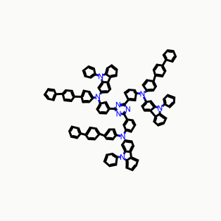 c1ccc(-c2ccc(-c3ccc(N(c4cccc(-c5nc(-c6cccc(N(c7ccc(-c8ccc(-c9ccccc9)cc8)cc7)c7ccc8c9ccccc9n(-c9ccccc9)c8c7)c6)nc(-c6cccc(N(c7ccc(-c8ccc(-c9ccccc9)cc8)cc7)c7ccc8c9ccccc9n(-c9ccccc9)c8c7)c6)n5)c4)c4ccc5c6ccccc6n(-c6ccccc6)c5c4)cc3)cc2)cc1